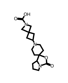 O=C(O)N1CC2(CC(N3CCC4(CC3)OC(=O)N3CCCC34)C2)C1